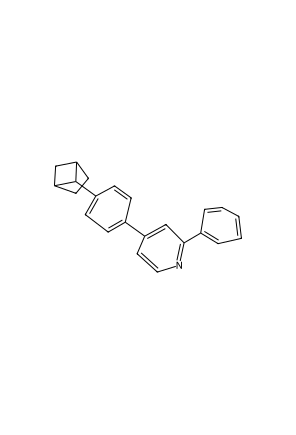 c1ccc(-c2cc(-c3ccc(C4C5CCC4C5)cc3)ccn2)cc1